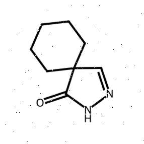 O=C1NN=CC12CCCCC2